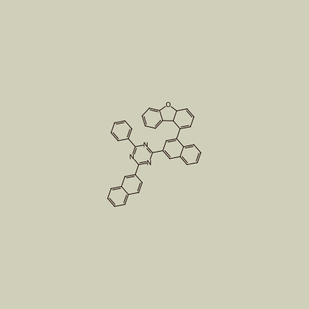 C1=CC2Oc3ccccc3C2C(c2cc(-c3nc(-c4ccccc4)nc(-c4ccc5ccccc5c4)n3)cc3ccccc23)=C1